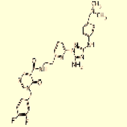 CN(C)Cc1ccc(Nc2nc(N)n(-c3cccc(CCNC(=O)c4cncn(Cc5ccc(F)c(F)c5)c4=O)n3)n2)cc1